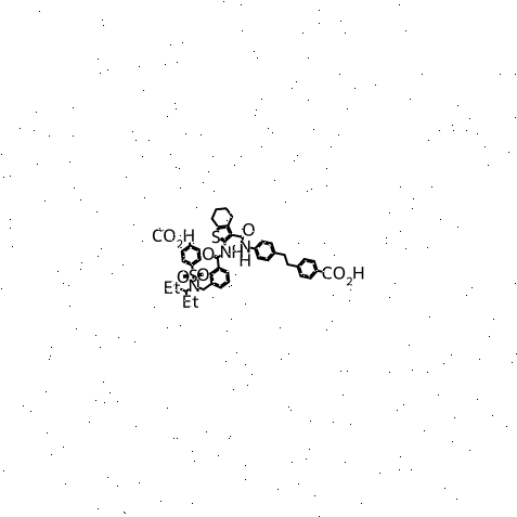 CCC(CC)N(Cc1cccc(C(=O)Nc2sc3c(c2C(=O)Nc2ccc(CCc4ccc(C(=O)O)cc4)cc2)CCCC3)c1)S(=O)(=O)c1ccc(C(=O)O)cc1